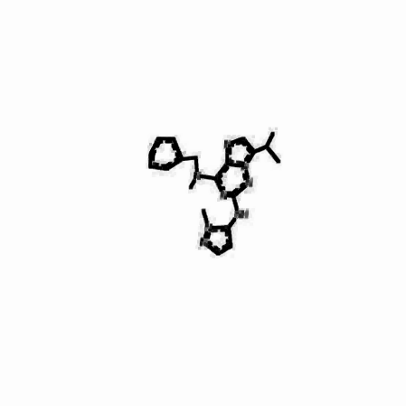 CC(C)c1cnc2c(N(C)Cc3ccccc3)nc(Nc3ccnn3C)nn12